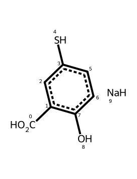 O=C(O)c1cc(S)ccc1O.[NaH]